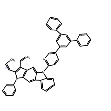 C=Cc1c(/C=C\C)n(-c2ccccc2)c2cc3c4ccccc4n(-c4ccc(-c5cc(-c6ccccc6)cc(-c6ccccc6)c5)cn4)c3cc12